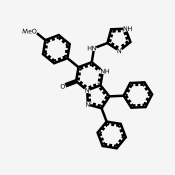 COc1ccc(-c2c(Nc3c[nH]cn3)[nH]c3c(-c4ccccc4)c(-c4ccccc4)nn3c2=O)cc1